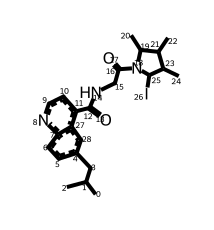 CC(C)Cc1ccc2nccc(C(=O)NCC(=O)N3C(C)C(C)C(C)C3I)c2c1